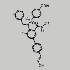 COc1ccc(S(=O)(=O)N(Cc2cccnc2)c2c(C)cc(-c3ccc(C=NO)cc3)cc2C(=O)NO)cc1